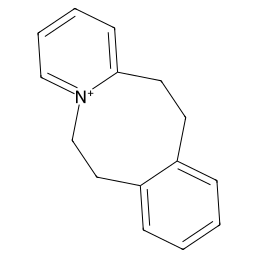 c1ccc2c(c1)CCc1cccc[n+]1CC2